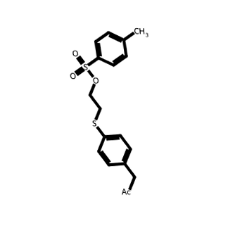 CC(=O)Cc1ccc(SCCOS(=O)(=O)c2ccc(C)cc2)cc1